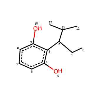 CCC(c1c(O)cccc1O)C(C)C